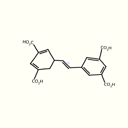 O=C(O)C1=CC(/C=C/c2cc(C(=O)O)cc(C(=O)O)c2)CC(C(=O)O)=C1